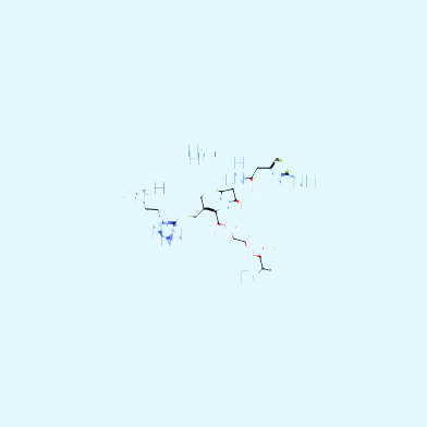 CCC(CC)C(=O)OCCOC(=O)C1=C(CSc2nnnn2CCN(C)C)CS[C@H]2[C@H](NC(=O)Cc3csc(N)n3)C(=O)N12.Cl.Cl